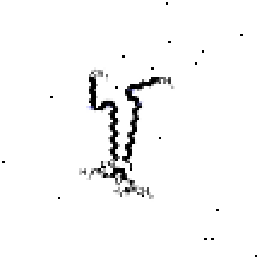 CCCCC/C=C\C/C=C\CCCCCCCCCO[C@H]1[C@H](OCCCCCCCCC/C=C\C/C=C\CCCCC)[C@@H](CN(C)C)O[C@H]1CN(C)C